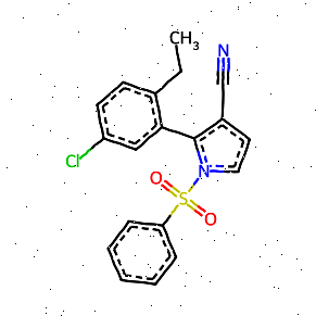 CCc1ccc(Cl)cc1-c1c(C#N)ccn1S(=O)(=O)c1ccccc1